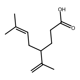 C=C(C)C(CC=C(C)C)CCC(=O)O